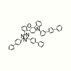 C1=CC2c3c(cccc3-c3nc(-c4ccc(-c5ccccc5)cc4)nc(-c4ccc(-c5ccccc5)cc4)n3)OC2c2c1n(-c1cccc(-c3ccc(-c4ccccc4)cc3)c1)c1ccccc21